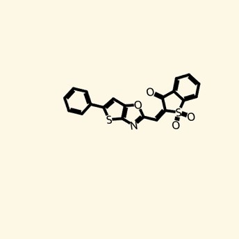 O=C1/C(=C\c2nc3sc(-c4ccccc4)cc3o2)S(=O)(=O)c2ccccc21